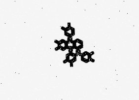 Cc1ccc(N2c3cc(C)c(C)cc3B3c4cc(C)c(C)cc4N(c4ccc(C)c(C)c4)c4cccc2c43)cc1C